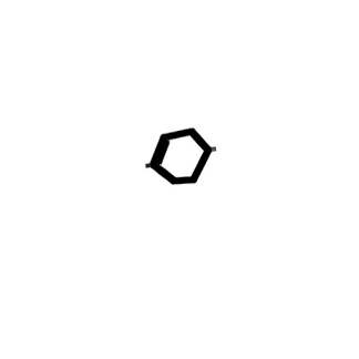 [C]1=CC[CH]CC1